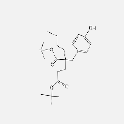 CCCCC(CCC(=O)OC(C)(C)C)(Cc1ccc(O)cc1)C(=O)OC(C)(C)C